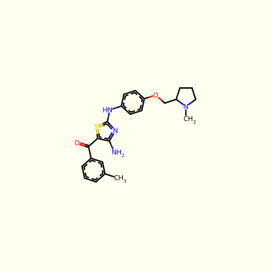 Cc1cccc(C(=O)c2sc(Nc3ccc(OCC4CCCN4C)cc3)nc2N)c1